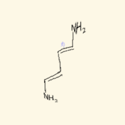 NC=C/C=C/N